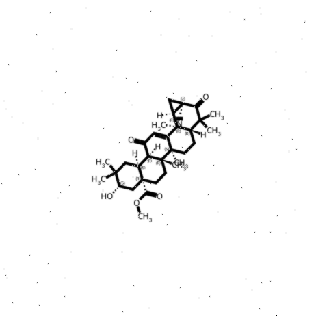 COC(=O)[C@@]12CC[C@]3(C)[C@H](C(=O)C=C4[C@@]5(C)[C@H]6C[C@@]6(C#N)C(=O)C(C)(C)[C@@H]5CC[C@]43C)[C@@H]1CC(C)(C)[C@@H](O)C2